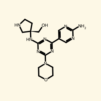 Nc1ncc(-c2nc(N[C@@]3(CO)CCNC3)nc(N3CCOCC3)n2)cn1